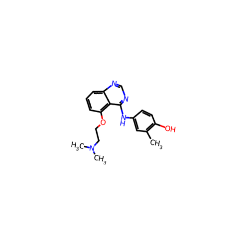 Cc1cc(Nc2ncnc3cccc(OCCN(C)C)c23)ccc1O